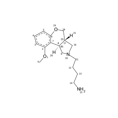 COc1cccc2c1[C@@H]1CN(CCCCN)C[C@H]1CO2